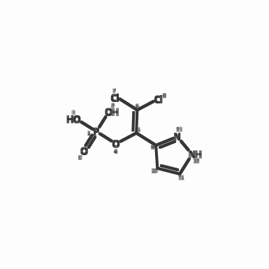 O=P(O)(O)OC(=C(Cl)Cl)c1cc[nH]n1